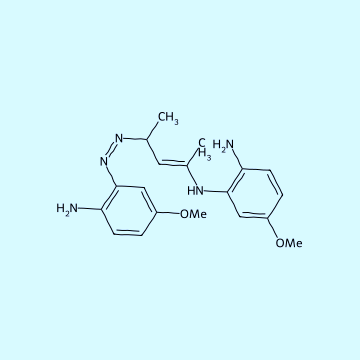 COc1ccc(N)c(/N=N\C(C)/C=C(\C)Nc2cc(OC)ccc2N)c1